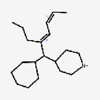 C/C=C\C=C(/CCC)C(C1CCCCC1)C1CCNCC1